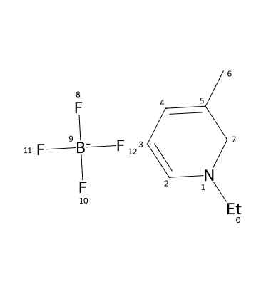 CCN1C=CC=C(C)C1.F[B-](F)(F)F